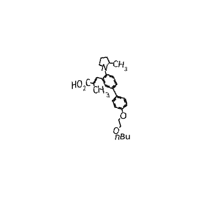 CCCCOCCOc1ccc(-c2ccc(N3CCCC3C)c(C=C(C)C(=O)O)c2)cc1